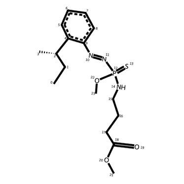 CC[C@H](C)c1ccccc1N=NP(=S)(NCCCC(=O)OC)OC